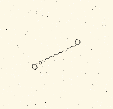 c1ccc(CCCCCCCCCCCCCCCCOCc2ccccc2)cc1